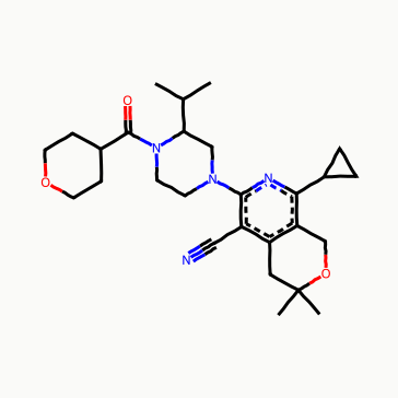 CC(C)C1CN(c2nc(C3CC3)c3c(c2C#N)CC(C)(C)OC3)CCN1C(=O)C1CCOCC1